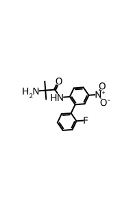 CC(C)(N)C(=O)Nc1ccc([N+](=O)[O-])cc1-c1ccccc1F